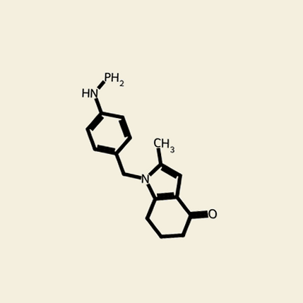 Cc1cc2c(n1Cc1ccc(NP)cc1)CCCC2=O